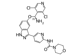 N[C@@H](Oc1ccc2[nH]nc(-c3ccc(NC(=O)N4CCOCC4)nc3)c2c1)c1c(Cl)cncc1Cl